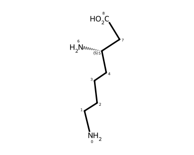 NCCCC[C@H](N)CC(=O)O